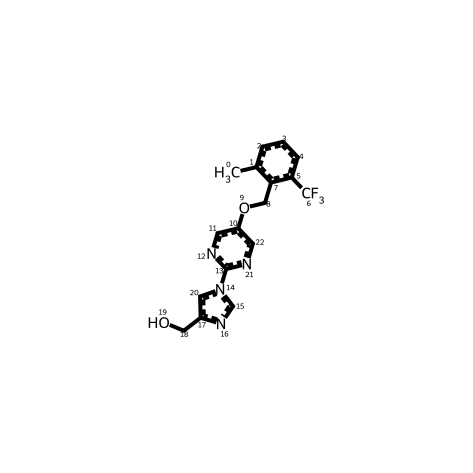 Cc1cccc(C(F)(F)F)c1COc1cnc(-n2cnc(CO)c2)nc1